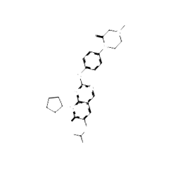 C[C@H]1CCC[C@H]1n1c(=O)c(OC(F)F)cc2cnc(Nc3ccc(N4CCN(C)CC4=O)cc3)nc21